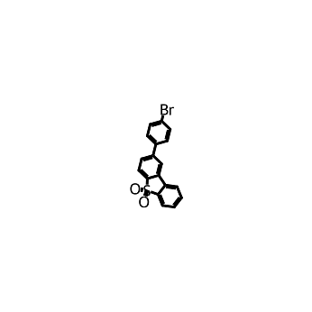 O=S1(=O)c2ccccc2-c2cc(-c3ccc(Br)cc3)ccc21